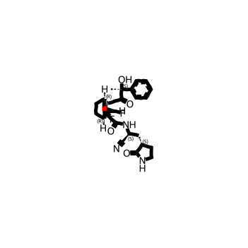 C[C@@](O)(C(=O)N1[C@@H]2CC[C@H]([C@H]1C(=O)N[C@H](C#N)C[C@@H]1CCNC1=O)C(F)(F)C2)c1ccccc1